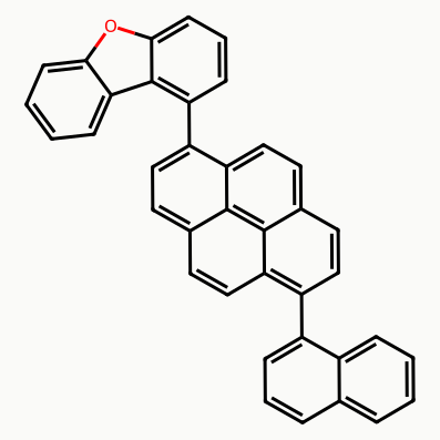 c1ccc2c(-c3ccc4ccc5c(-c6cccc7oc8ccccc8c67)ccc6ccc3c4c65)cccc2c1